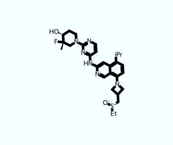 CC[S+]([O-])CC1CN(c2ccc(C(C)C)c3cc(Nc4ccnc(N5CC[C@@H](O)[C@@](C)(F)C5)n4)ncc23)C1